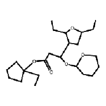 CCC1CC(C(CC(=O)OC2(CC)CCCC2)OC2CCCCO2)C(CC)O1